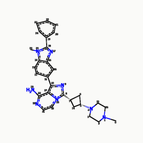 CN1CCN([C@H]2C[C@@H](c3nc(-c4ccc5c(c4)nc(-c4ccccc4)n5C)c4c(N)nccn43)C2)CC1